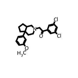 COc1cccc(C23CCCC2CN(CC(=O)c2cc(Cl)cc(Cl)c2)CC3)c1